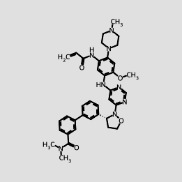 C=CC(=O)Nc1cc(Nc2cc(N3OCC[C@@H]3c3cccc(-c4cccc(C(=O)N(C)C)c4)c3)ncn2)c(OC)cc1N1CCN(C)CC1